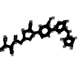 O=C(NCC1CN(c2ccc(-n3cnc(Cn4cncn4)c3)c(F)c2)C(=O)O1)C(Cl)Cl